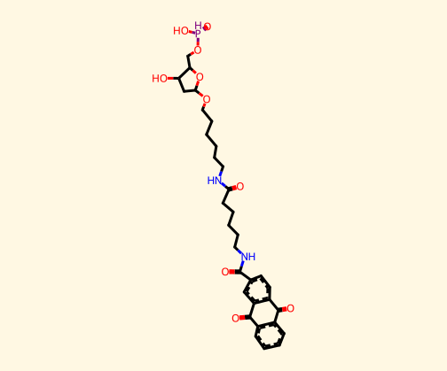 O=C(CCCCCNC(=O)c1ccc2c(c1)C(=O)c1ccccc1C2=O)NCCCCCCOC1CC(O)C(CO[PH](=O)O)O1